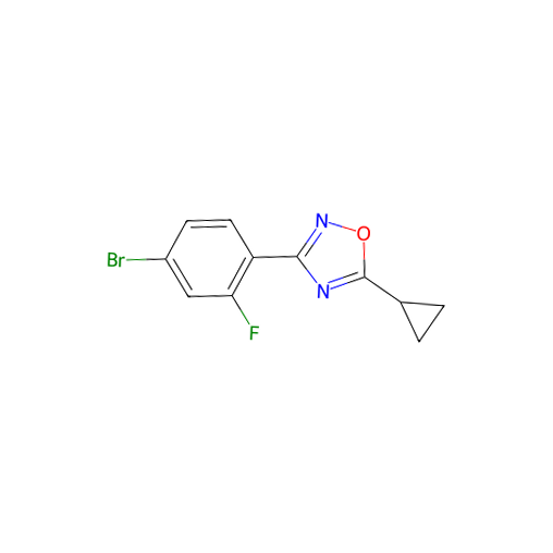 Fc1cc(Br)ccc1-c1noc(C2CC2)n1